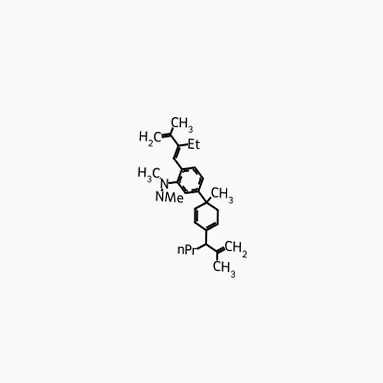 C=C(C)/C(=C/c1ccc(C2(C)C=CC(C(CCC)C(=C)C)=CC2)cc1N(C)NC)CC